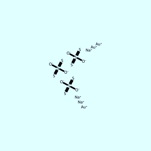 [Au+].[Au+].[Au+].[Na+].[Na+].[Na+].[O-]S([O-])(=S)=S.[O-]S([O-])(=S)=S.[O-]S([O-])(=S)=S